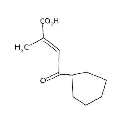 CC(=CC(=O)C1CCCCC1)C(=O)O